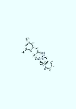 O=C(Cc1cc(F)cc(F)c1)N[C@@H](Cc1ccccc1)C(=O)O